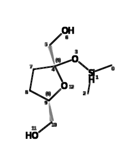 C[SiH](C)O[C@]1(CO)CC[C@@H](CO)O1